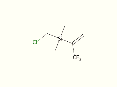 C=C(C(F)(F)F)[Si](C)(C)CCl